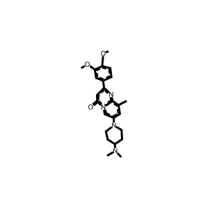 COc1ccc(-c2cc(=O)n3cc(N4CCC(N(C)C)CC4)cc(C)c3n2)cc1OC